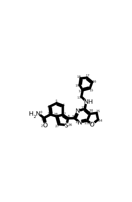 NC(=O)c1cccc2c(-c3nc(NCc4ccccc4)c4c(n3)OCC4)scc12